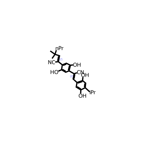 CCCC(C)(C)/C=C(\C#N)c1cc(O)c(/C(C#N)=C/c2cc(O)c(C(C)C)cc2O)cc1O